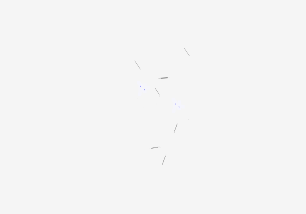 CC1(C)N2C3CC(C4CC=CCC4)=CC4=C3B(C3CC(C5=CCCC=C5)C=C(C32)C12CCCCC2)C1SC(C2CCCCC2)CC1N4C1C=CCCC1